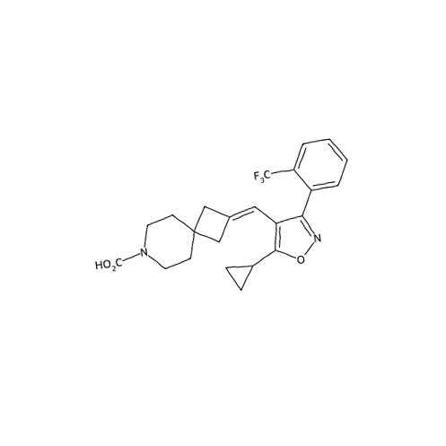 O=C(O)N1CCC2(CC1)CC(=Cc1c(-c3ccccc3C(F)(F)F)noc1C1CC1)C2